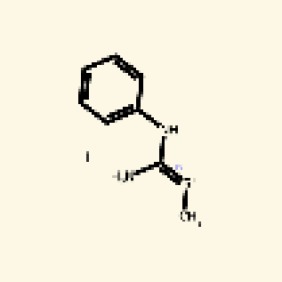 C/[S+]=C(\N)Nc1ccccc1.[I-]